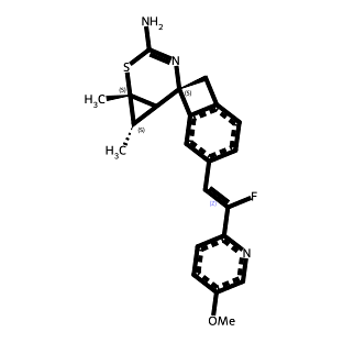 COc1ccc(/C(F)=C/c2ccc3c(c2)[C@@]2(C3)N=C(N)S[C@]3(C)C2[C@@H]3C)nc1